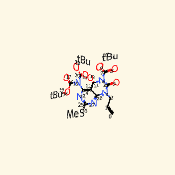 C=CCn1c(=O)n(C(=O)OC(C)(C)C)c(=O)c2c(N(C(=O)OC(C)(C)C)C(=O)OC(C)(C)C)nc(SC)nc21